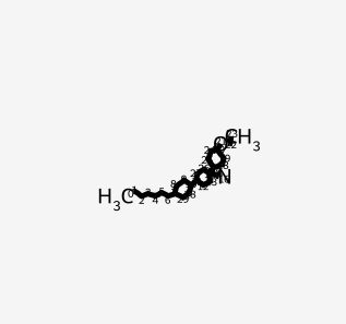 CCCCCCCC1CCC(C2CCC(C#N)(C3CCC(OCC)CC3)CC2)CC1